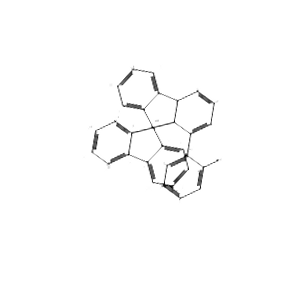 Clc1ccccc1C1=CC=CC2c3ccccc3C3(c4ccccc4-c4ccccc43)C12